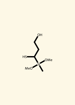 CO[Si](C)(OC)C(S)CCO